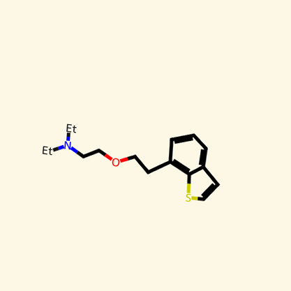 CCN(CC)CCOCCc1cccc2ccsc12